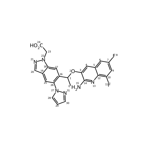 CC(Oc1cc2cc(F)cc(F)c2nc1N)c1cc2c(cnn2CC(=O)O)cc1-n1cccn1